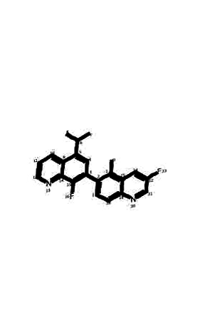 Cc1c(-c2cc(C(C)C)c3cccnc3c2F)ccc2ncc(F)cc12